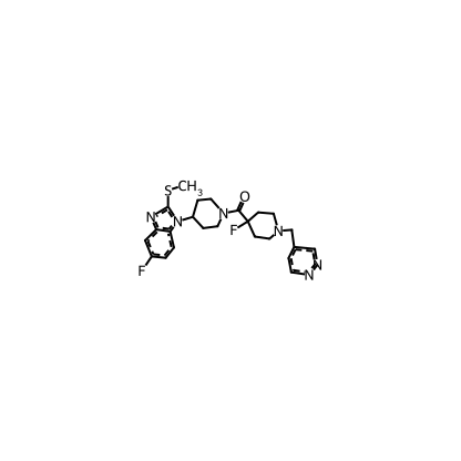 CSc1nc2cc(F)ccc2n1C1CCN(C(=O)C2(F)CCN(Cc3ccnnc3)CC2)CC1